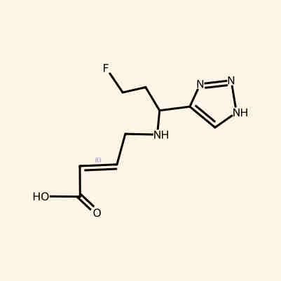 O=C(O)/C=C/CNC(CCF)c1c[nH]nn1